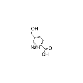 O=C(O)c1ccc(CO)cc1.[NaH]